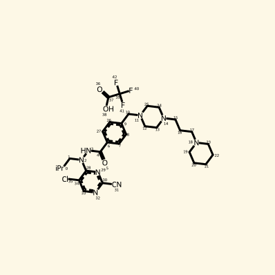 CC(C)CN(NC(=O)c1ccc(CN2CCN(CCCN3CCCCC3)CC2)cc1)c1nc(C#N)ncc1Cl.O=C(O)C(F)(F)F